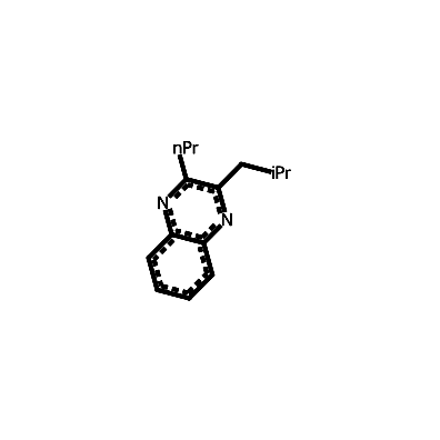 CCCc1nc2ccccc2nc1CC(C)C